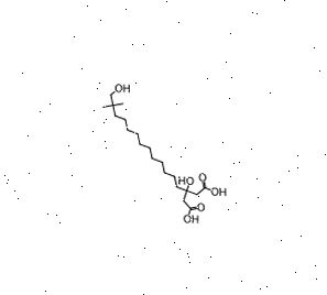 CC(C)(CO)CCCCCCCCCCCC(O)(CC(=O)O)CC(=O)O